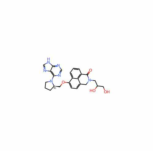 O=C1c2cccc3c(OC[C@H]4CCCN4c4ncnc5[nH]cnc45)ccc(c23)CN1CC(O)CO